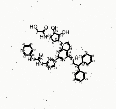 O=C(CO)N[C@H]1C[C@@H](n2cnc3c(NCC(c4ccccc4)c4ccccc4)nc(-n4cnc(NC(=O)Nc5cccnc5)n4)nc32)[C@H](O)[C@@H]1O